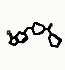 O=C1CCc2ccc(CN3CCN(C(=O)N4CCOCC4)CC3)cc21